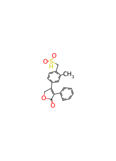 Cc1cc(C2=C(c3ccccc3)C(=O)OC2)ccc1C[SH](=O)=O